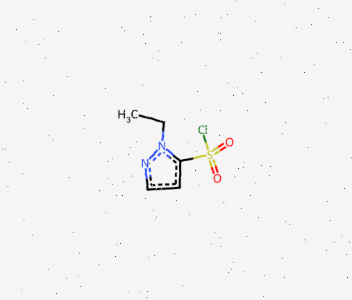 CCn1nccc1S(=O)(=O)Cl